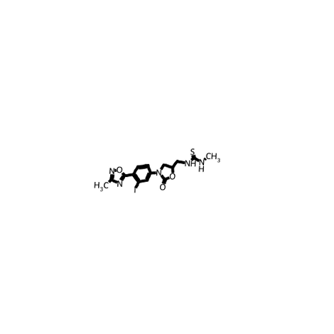 CNC(=S)NCC1CN(c2ccc(-c3nc(C)no3)c(I)c2)C(=O)O1